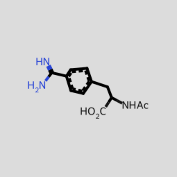 CC(=O)NC(Cc1ccc(C(=N)N)cc1)C(=O)O